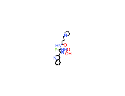 O=C(CCCN1CCCC1)Nc1[nH]nc(-c2cnc3ccccc3c2)c1F.O=CO